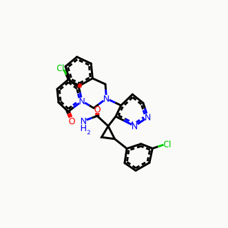 NC(=O)C1(c2nnccc2N(Cc2ccccc2)Cn2cc(Cl)ccc2=O)CC1c1cccc(Cl)c1